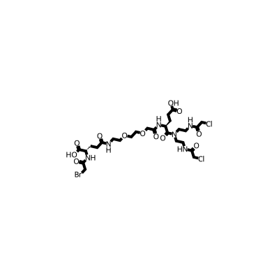 O=C(O)CC[C@H](NC(=O)COCCOCCNC(=O)CC[C@H](NC(=O)CBr)C(=O)O)C(=O)N(CCNC(=O)CCl)CCNC(=O)CCl